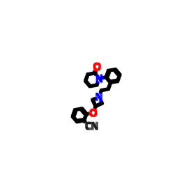 N#Cc1ccccc1OC1CN(CCc2ccccc2N2CCCCC2=O)C1